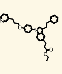 CCOC(=O)CCc1ccc2c(c1)c(CCc1ccccc1)cn2-c1ccc(OCCCc2cccnc2)cc1